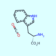 N[C@@H](Cc1c[nH]c2ccccc12)C(=O)O.O=C=O